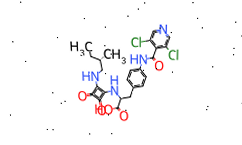 CC[C@H](C)CNc1c(NC(Cc2ccc(NC(=O)c3c(Cl)cncc3Cl)cc2)C(=O)O)c(=O)c1=O